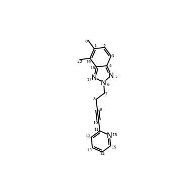 Cc1ccc2nn(CCC#Cc3ccccn3)nc2c1C